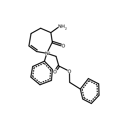 NC1CCC=C[N+](CC(=O)OCc2ccccc2)(c2ccccc2)C1=O